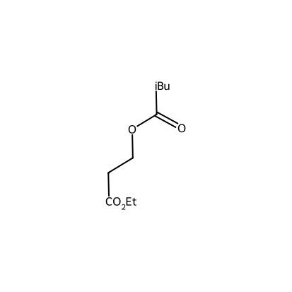 CCOC(=O)CCOC(=O)C(C)CC